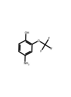 Nc1ccc(O)c(OC(F)(F)F)c1